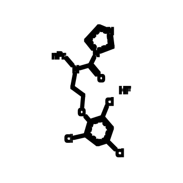 CCCN(CCOc1c(Cl)cc(Cl)cc1Cl)C(=O)n1ccnc1.F